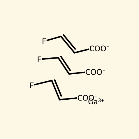 O=C([O-])C=CF.O=C([O-])C=CF.O=C([O-])C=CF.[Ga+3]